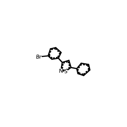 Brc1cccc(-c2cc(-c3ccccc3)sn2)c1